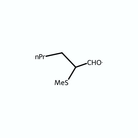 CCCCC([C]=O)SC